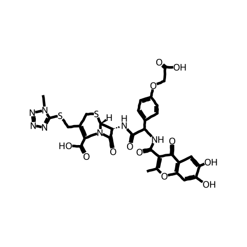 Cc1oc2cc(O)c(O)cc2c(=O)c1C(=O)NC(C(=O)N[C@@H]1C(=O)N2C(C(=O)O)=C(CSc3nnnn3C)CS[C@H]12)c1ccc(OCC(=O)O)cc1